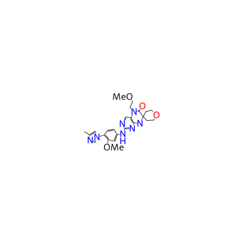 COCCN1C(=O)C2(CCOCC2)N(C)c2nc(Nc3ccc(-n4cnc(C)c4)c(OC)c3)ncc21